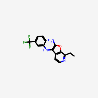 CCc1nccc2c(Nc3cccc(C(F)(F)F)c3)c(N)oc12